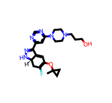 CC1(OC2=C(F)C[C@H]3NN=C(c4cc(N5CCN(CCCO)CC5)ncn4)C3=C2)CC1